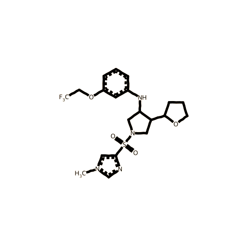 Cn1cnc(S(=O)(=O)N2CC(Nc3cccc(OCC(F)(F)F)c3)C(C3CCCO3)C2)c1